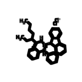 CCCCC(CC)C(=O)[NH][Hf+2]([CH]1c2ccccc2-c2ccccc21)[SiH](c1ccccc1)c1ccccc1.[Cl-].[Cl-]